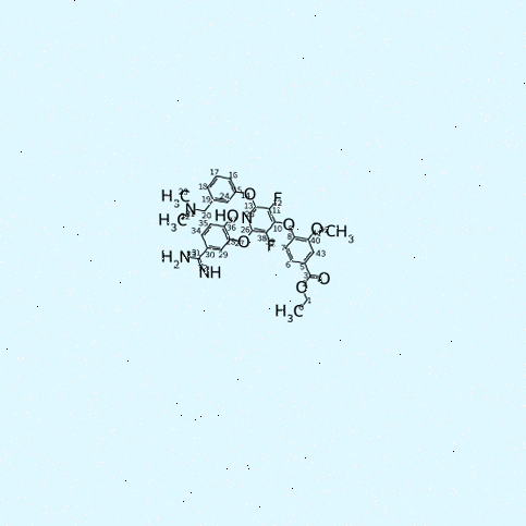 CCOC(=O)c1ccc(Oc2c(F)c(Oc3cccc(CN(C)C)c3)nc(Oc3cc(C(=N)N)ccc3O)c2F)c(OC)c1